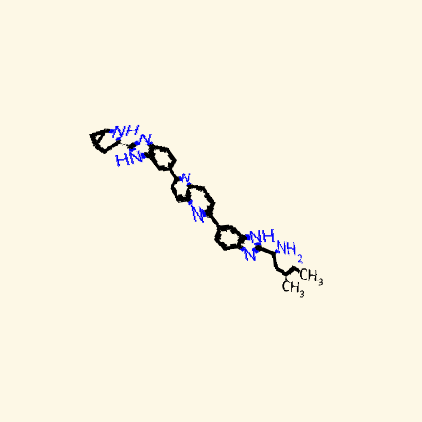 CC[C@H](C)C[C@H](N)c1nc2ccc(-c3ccc4nc(-c5ccc6nc([C@@H]7CC8CC8N7)[nH]c6c5)ccc4n3)cc2[nH]1